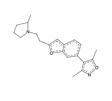 Cc1noc(C)c1-c1ccc2cc(CCN3CCCC3C)oc2c1